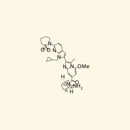 COc1cc(C(=O)N2[C@H]3CC[C@@H]2[C@H](N)C3)cc2nc(-c3cc4ccc(N5CCCCS5(=O)=O)nc4n3CC3CC3)c(C)n12